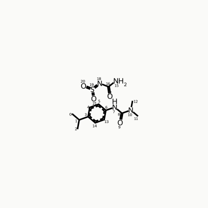 CC(C)c1ccc(NC(=O)N(C)C)cc1.NC(=O)N=S(=O)=O